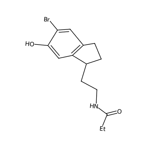 CCC(=O)NCCC1CCc2cc(Br)c(O)cc21